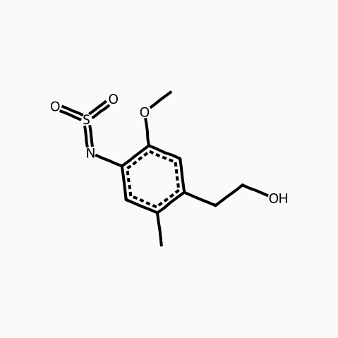 COc1cc(CCO)c(C)cc1N=S(=O)=O